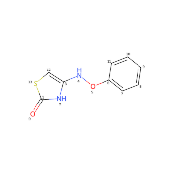 O=c1[nH]c(NOc2ccccc2)cs1